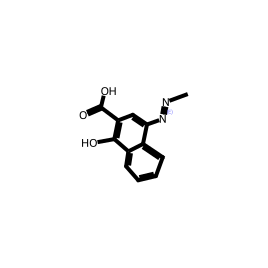 C/N=N/c1cc(C(=O)O)c(O)c2ccccc12